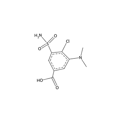 CN(C)c1cc(C(=O)O)cc(S(N)(=O)=O)c1Cl